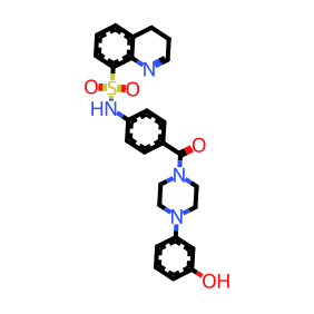 O=C(c1ccc(NS(=O)(=O)c2cccc3c2N=CCC3)cc1)N1CCN(c2cccc(O)c2)CC1